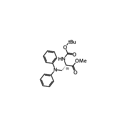 COC(=O)[C@H](CN(c1ccccc1)c1ccccc1)NC(=O)OC(C)(C)C